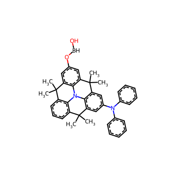 CC1(C)c2cccc3c2N2c4c1cc(OBO)cc4C(C)(C)c1cc(N(c4ccccc4)c4ccccc4)cc(c12)C3(C)C